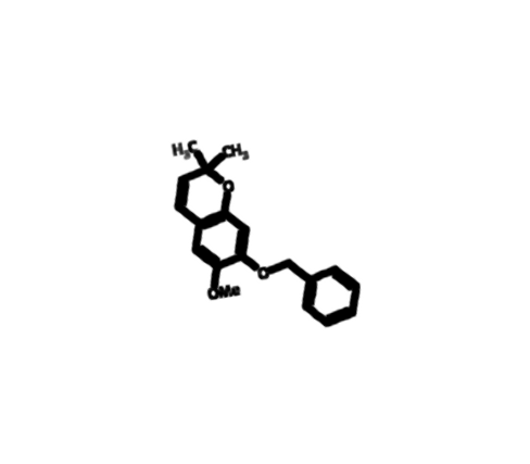 COc1cc2c(cc1OCc1ccccc1)OC(C)(C)C=C2